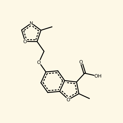 Cc1ncoc1COc1ccc2oc(C)c(C(=O)O)c2c1